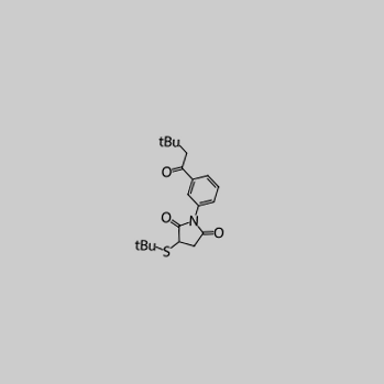 CC(C)(C)CC(=O)c1cccc(N2C(=O)CC(SC(C)(C)C)C2=O)c1